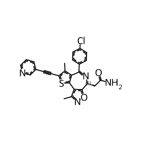 Cc1noc2c1-c1sc(C#Cc3cccnc3)c(C)c1C(c1ccc(Cl)cc1)=N[C@H]2CC(N)=O